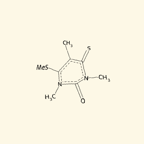 CSc1c(C)c(=S)n(C)c(=O)n1C